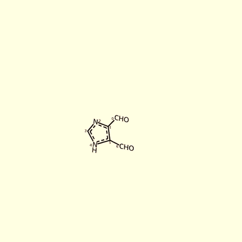 O=Cc1nc[nH]c1C=O